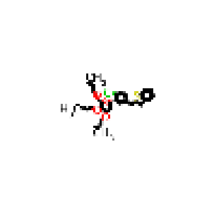 CCCCOC[C@H]1O[C@@H](c2cc(CC3Cc4ccccc4S3)ccc2Cl)CC(OCCCC)[C@@H]1OCCCC